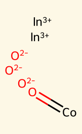 [In+3].[In+3].[O-2].[O-2].[O-2].[O]=[Co]